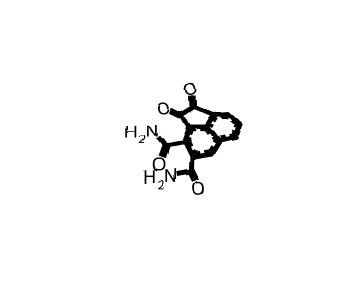 NC(=O)c1cc2cccc3c2c(c1C(N)=O)C(=O)C3=O